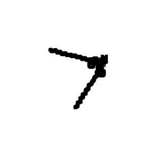 CCCCCC=CCC=CCCCCCCCC(=O)OC[C@@H]1CN(C)C[C@H]1COC(=O)CCCCCCCC=CCC=CCCCCC